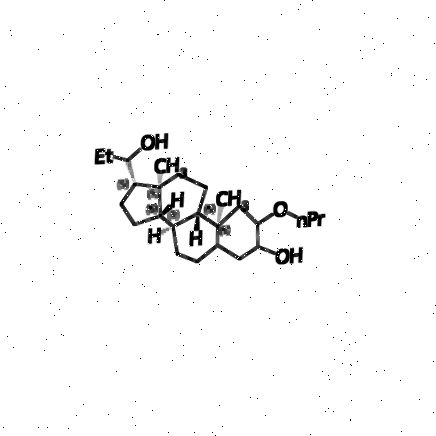 CCCOC1C[C@@]2(C)C(CC[C@H]3[C@@H]4CC[C@H](C(O)CC)[C@@]4(C)CC[C@@H]32)CC1O